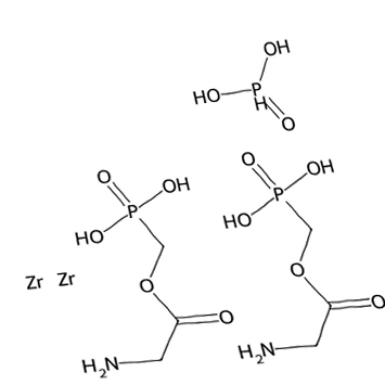 NCC(=O)OCP(=O)(O)O.NCC(=O)OCP(=O)(O)O.O=[PH](O)O.[Zr].[Zr]